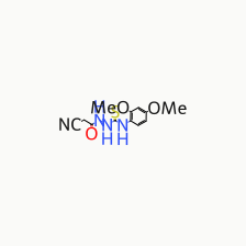 COc1ccc(NC(=S)NNC(=O)CC#N)c(OC)c1